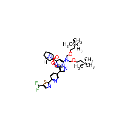 CC(C)(C)OC(=O)N1C2CC[C@@H]1CC(c1cc(N(COCC[Si](C)(C)C)COCC[Si](C)(C)C)n3ncc(-c4ccc(-c5ncc(C(F)F)s5)nc4)c3n1)C2